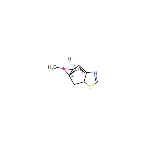 CI1[C@H]2C=C3N=CSC3C[C@@]21C